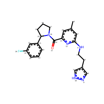 Cc1cc(NCCc2cn[nH]c2)nc(C(=O)N2CCCC2c2cccc(F)c2)c1